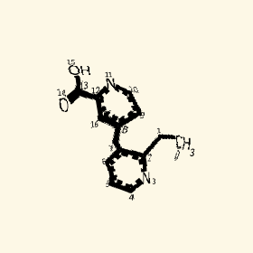 CCc1ncccc1-c1ccnc(C(=O)O)c1